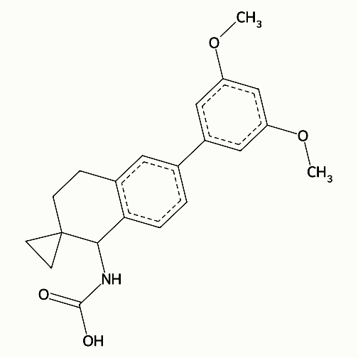 COc1cc(OC)cc(-c2ccc3c(c2)CCC2(CC2)C3NC(=O)O)c1